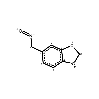 O=NCc1ccc2c(c1)OCO2